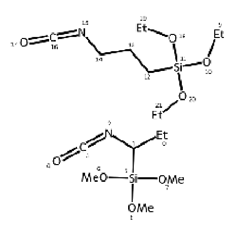 CCC(N=C=O)[Si](OC)(OC)OC.CCO[Si](CCCN=C=O)(OCC)OCC